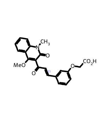 COc1c(C(=O)/C=C/c2cccc(OCC(=O)O)c2)c(=O)n(C)c2ccccc12